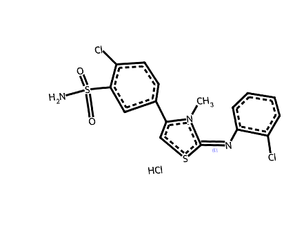 Cl.Cn1c(-c2ccc(Cl)c(S(N)(=O)=O)c2)cs/c1=N/c1ccccc1Cl